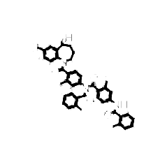 Cc1ccccc1C(=O)Nc1ccc(C(=O)N(C(=O)c2ccccc2C)c2ccc(C(=O)N3CCCC(O)c4cc(Cl)ccc43)c(C)c2)c(C)c1